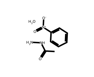 CC(=O)NN.O.O=[N+]([O-])c1ccccc1